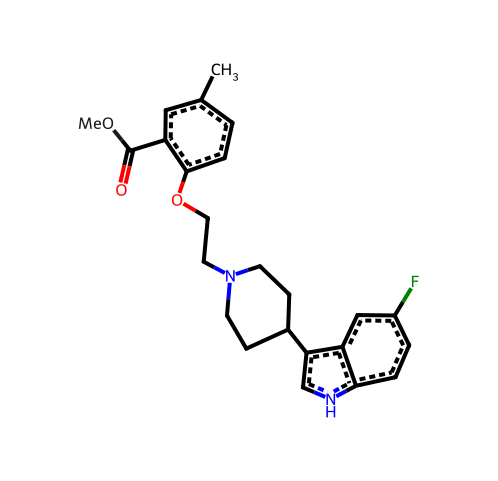 COC(=O)c1cc(C)ccc1OCCN1CCC(c2c[nH]c3ccc(F)cc23)CC1